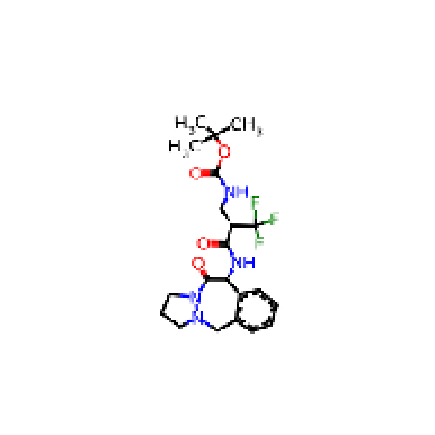 CC(C)(C)OC(=O)NC[C@H](C(=O)N[C@@H]1C(=O)N2CCCN2Cc2ccccc21)C(F)(F)F